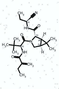 C=C(CC)C(=O)N[C@H](C(=O)N1C[C@H]2[C@@H]([C@H]1C(=O)N[C@H](C#N)CC)C2(C)C)C(C)(C)C